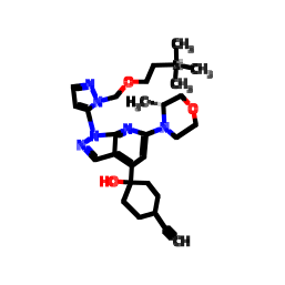 C#CC1CCC(O)(c2cc(N3CCOC[C@H]3C)nc3c2cnn3-c2ccnn2COCC[Si](C)(C)C)CC1